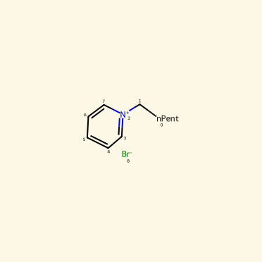 CCCCCC[n+]1ccccc1.[Br-]